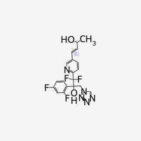 CC(O)/C=C/c1ccc(C(F)(F)C(O)(Cn2cnnn2)c2ccc(F)cc2F)nc1